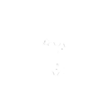 COc1ccccc1C(NCCCOc1ccccc1C=Cc1nnc(C)s1)C(C)C